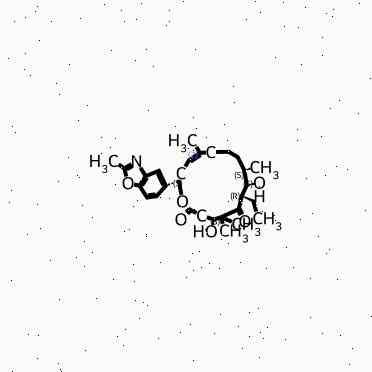 CC[C@H]1C(=O)C(C)(C)[C@@H](O)CC(=O)O[C@H](c2ccc3oc(C)nc3c2)C/C=C(/C)CCC[C@H](C)[C@@H]1O